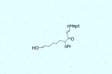 CCCCCCCC=CC(=O)C(CCC)CCCCC=CO